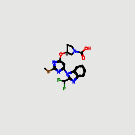 CSc1nc(O[C@H]2CCN(C(=O)O)C2)cc(-n2c(C(F)F)nc3ccccc32)n1